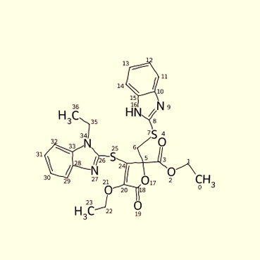 CCOC(=O)C1(CSc2nc3ccccc3[nH]2)OC(=O)C(OCC)=C1Sc1nc2ccccc2n1CC